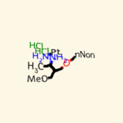 CCCCCCCCCCOCC(COC)C(C)N.Cl.Cl.[NH2][Pt]